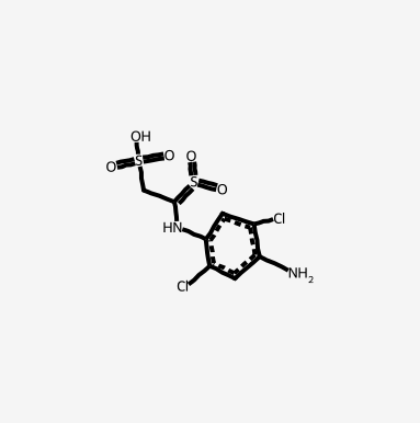 Nc1cc(Cl)c(NC(CS(=O)(=O)O)=S(=O)=O)cc1Cl